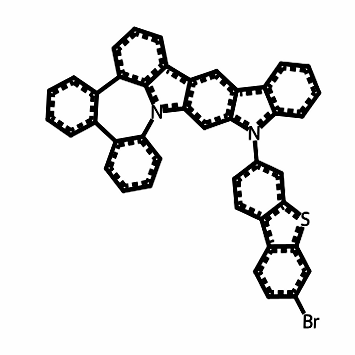 Brc1ccc2c(c1)sc1cc(-n3c4ccccc4c4cc5c6cccc7c6n(c5cc43)-c3ccccc3-c3ccccc3-7)ccc12